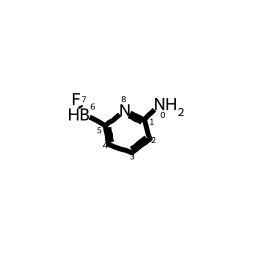 Nc1cccc(BF)n1